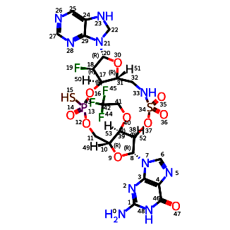 Nc1nc2c(ncn2[C@@H]2O[C@@H]3COP(=O)(S)O[C@H]4[C@@H](F)[C@H](N5CNc6cncnc65)O[C@@H]4CNS(=O)(=O)O[C@@H]2[C@@H]3OCC(F)(F)F)c(=O)[nH]1